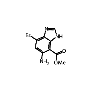 COC(=O)c1c(N)cc(Br)c2nc[nH]c12